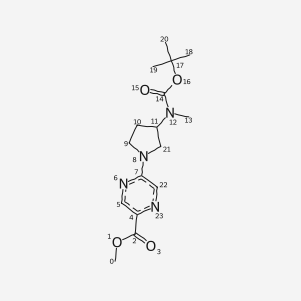 COC(=O)c1cnc(N2CCC(N(C)C(=O)OC(C)(C)C)C2)cn1